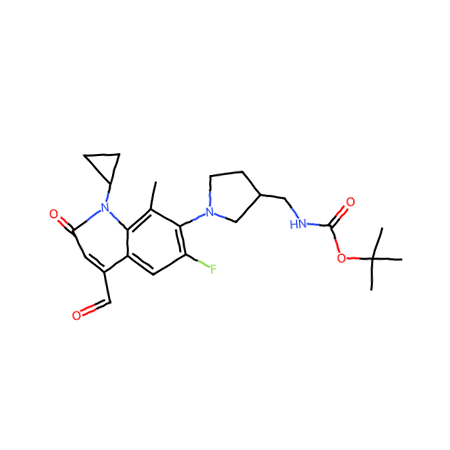 Cc1c(N2CCC(CNC(=O)OC(C)(C)C)C2)c(F)cc2c(C=O)cc(=O)n(C3CC3)c12